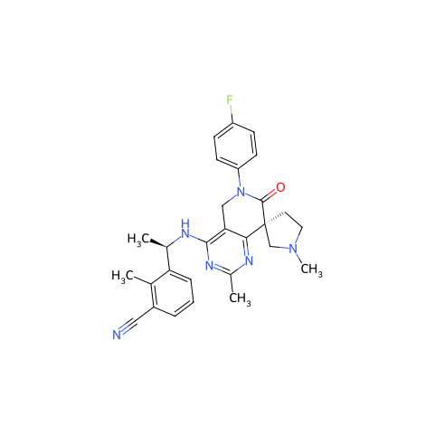 Cc1nc(N[C@H](C)c2cccc(C#N)c2C)c2c(n1)[C@@]1(CCN(C)C1)C(=O)N(c1ccc(F)cc1)C2